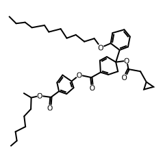 CCCCCCCCCCCOc1ccccc1C1(OC(=O)CC2CC2)C=CC(C(=O)Oc2ccc(C(=O)OC(C)CCCCCC)cc2)=CC1